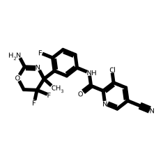 CC1(c2cc(NC(=O)c3ncc(C#N)cc3Cl)ccc2F)N=C(N)OCC1(F)F